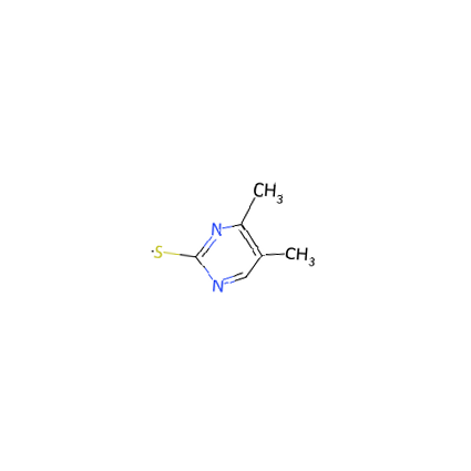 Cc1cnc([S])nc1C